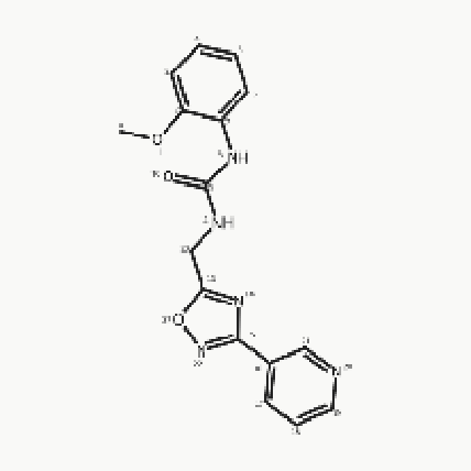 COc1ccccc1NC(=O)NCc1nc(-c2cccnc2)no1